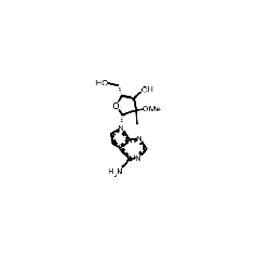 COC1(C)C(O)[C@@H](CO)O[C@H]1n1ccc2c(N)ncnc21